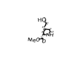 COC(=O)[C@@H]1C[C@H](CCO)CCN1